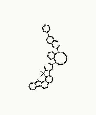 C=C(/C=c1/ccc(-c2ccccc2)cc1=C)c1ccccccc(C(=C)/C=C2\C(=C)C(C)(C)c3c2ccc2ccc4c5ccccc5sc4c32)c2ccccc12